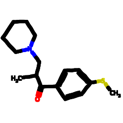 CSc1ccc(C(=O)C(C)CN2CCCCC2)cc1